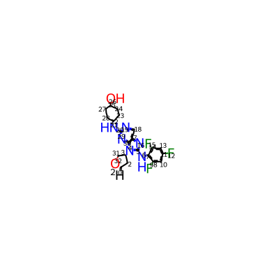 [2H]C1CC(n2c(Nc3c(F)cc(F)cc3F)nc3cnc(NC4CCC(O)CC4)nc32)CO1